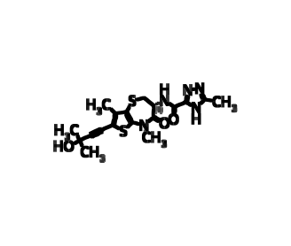 Cc1nnc(C(=O)N[C@H]2CSc3c(sc(C#CC(C)(C)O)c3C)N(C)C2=O)[nH]1